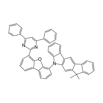 CC1(C)c2ccccc2-c2cc3c4ccccc4n(-c4cccc5c4oc4c(-c6nc(-c7ccccc7)cc(-c7ccccc7)n6)cccc45)c3cc21